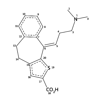 CN(C)CC/C=C1\c2ccccc2CCc2cc(C(=O)O)sc21